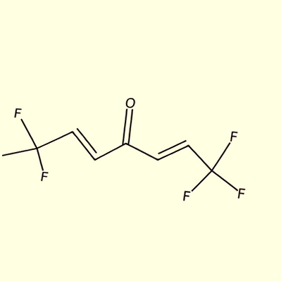 O=C(C=CC(F)(F)F)C=CC(F)(F)F